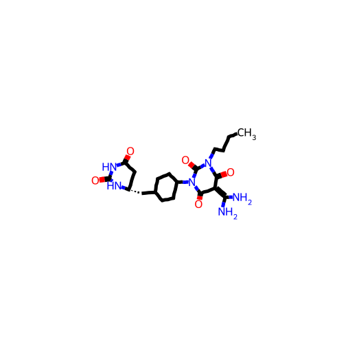 CCCCN1C(=O)C(=C(N)N)C(=O)N(C2CCC(C[C@H]3CC(=O)NC(=O)N3)CC2)C1=O